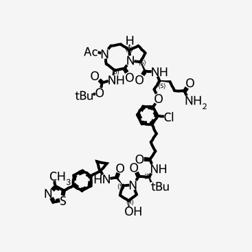 CC(=O)N1CC[C@H]2CC[C@@H](C(=O)N[C@@H](CCC(N)=O)COc3cccc(CCCC(=O)N[C@H](C(=O)N4C[C@H](O)C[C@H]4C(=O)NC4(c5ccc(-c6scnc6C)cc5)CC4)C(C)(C)C)c3Cl)N2C(=O)[C@@H](NC(=O)OC(C)(C)C)C1